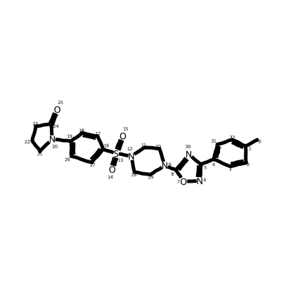 Cc1ccc(-c2noc(N3CCN(S(=O)(=O)c4ccc(N5CCCC5=O)cc4)CC3)n2)cc1